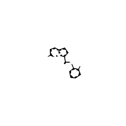 O=C(Nc1ccccc1Br)c1ccc2ccc(O)nn12